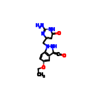 CCOc1ccc2c(c1)C(=C=O)NN2Cc1cc(=O)[nH]c(N)n1